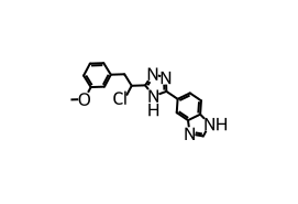 COc1cccc(CC(Cl)c2nnc(-c3ccc4[nH]cnc4c3)[nH]2)c1